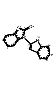 O=c1sc2ccccc2n1C1=Cc2ccccc2[N]1